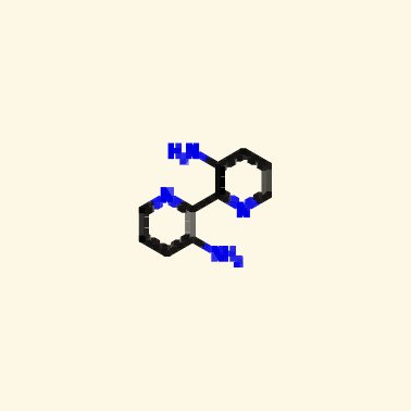 Nc1cccnc1-c1ncccc1N